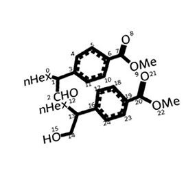 CCCCCCC(C=O)c1ccc(C(=O)OC)cc1.CCCCCCC(CO)c1ccc(C(=O)OC)cc1